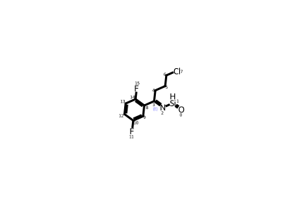 O=[SiH]/N=C(\CCCCl)c1cc(F)ccc1F